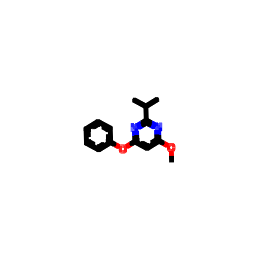 COc1cc(Oc2ccccc2)nc(C(C)C)n1